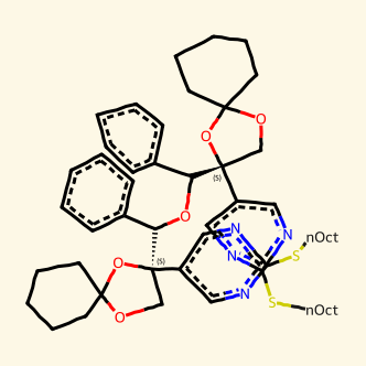 CCCCCCCCSc1ncc([C@@]2(C(OC(c3ccccc3)[C@]3(c4cnc(SCCCCCCCC)nc4)COC4(CCCCC4)O3)c3ccccc3)COC3(CCCCC3)O2)cn1